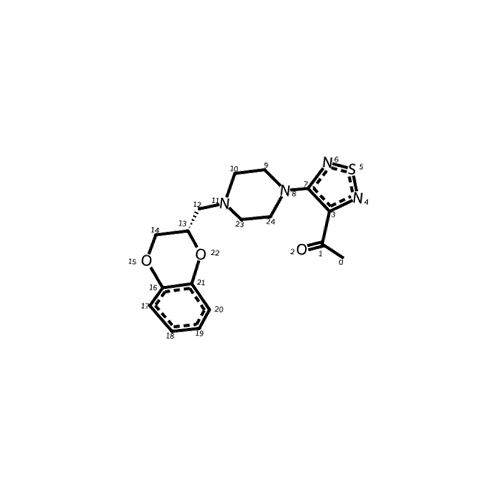 CC(=O)c1nsnc1N1CCN(C[C@H]2COc3ccccc3O2)CC1